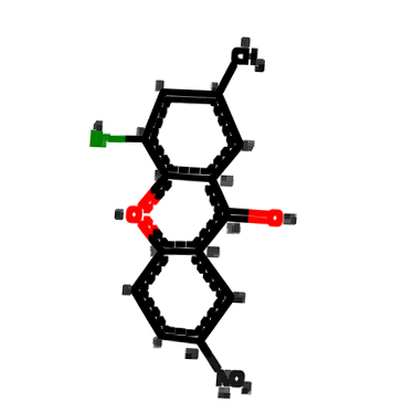 Cc1cc(Br)c2oc3ccc([N+](=O)[O-])cc3c(=O)c2c1